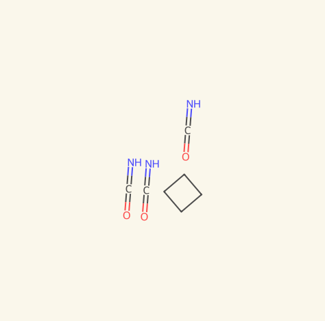 C1CCC1.N=C=O.N=C=O.N=C=O